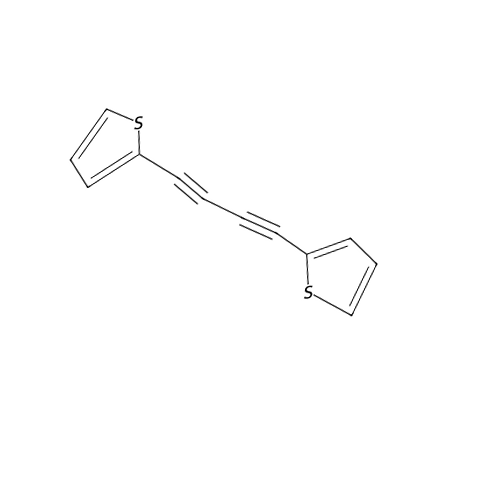 C(C#Cc1cccs1)#Cc1cccs1